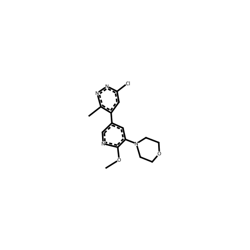 COc1ncc(-c2cc(Cl)nnc2C)cc1N1CCOCC1